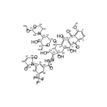 COc1cccc2c1C(=O)c1c(O)c3c(c(O)c1C2=O)C[C@@](O)(/C(CO)=N/NC(=O)c1cc(N2C(=O)C=CC2=O)cc(C(F)(F)F)c1)C[C@@H]3O[C@H]1CC(N2CCO[C@H](OC)C2)[C@H](O)[C@H](C)O1